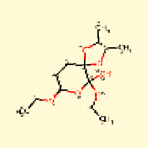 CCOC1CCC(OCC)(OCC)C(O)(OCC)O1